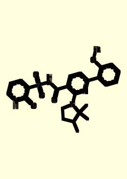 CCOc1ccccc1-c1ccc(C(=O)NS(=O)(=O)c2ccc[nH]c2=O)c(N2CCC(C)C2(C)C)n1